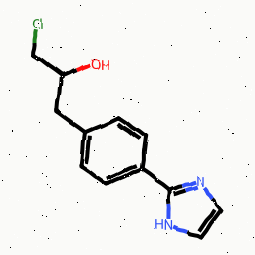 OC(CCl)Cc1ccc(-c2ncc[nH]2)cc1